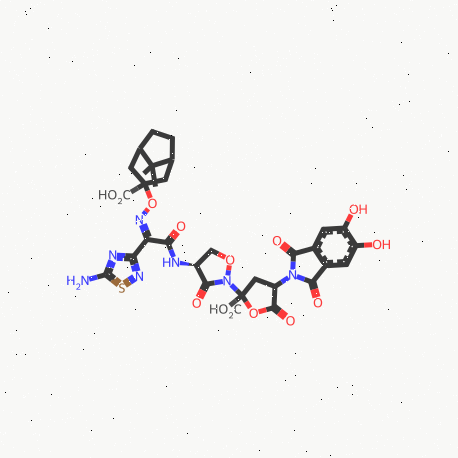 CC1(C)C2CCC1CC(O/N=C(\C(=O)N[C@H]1CON(C3(C(=O)O)CC(N4C(=O)c5cc(O)c(O)cc5C4=O)C(=O)O3)C1=O)c1nsc(N)n1)(C(=O)O)C2